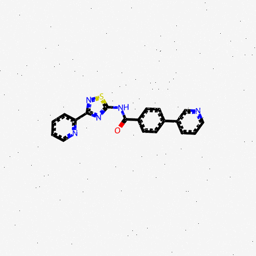 O=C(Nc1nc(-c2ccccn2)ns1)c1ccc(-c2cccnc2)cc1